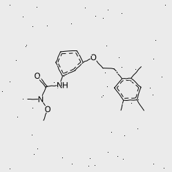 CON(C)C(=O)Nc1cccc(OCCc2cc(C)c(C)cc2C)c1